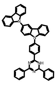 c1ccc(C2=NC(c3ccccc3)NC(c3ccc(-n4c5ccccc5c5cc(-n6c7ccccc7c7ccccc76)ccc54)cc3)=N2)cc1